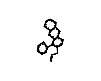 C=CCc1ccc2cc3ccccc3cc2c1-c1ccccc1